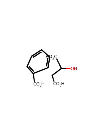 O=C(O)CC(O)C(=O)O.O=C(O)c1ccccc1